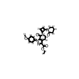 CCOC(=O)c1nn(-c2ccc(OC)cc2)c2c1CCN(C1=CC=C1N1CCCCC1=O)C2=O